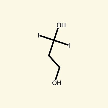 OCCC(O)(I)I